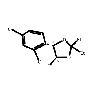 [CH2][C@@H]1OC(CC)(CC)O[C@H]1c1ccc(Cl)cc1Cl